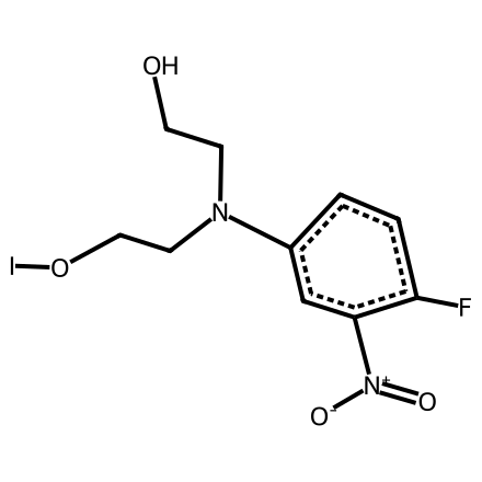 O=[N+]([O-])c1cc(N(CCO)CCOI)ccc1F